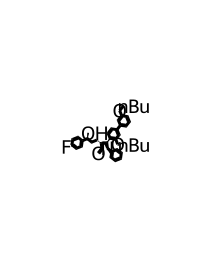 CCCCOc1cccc(-c2ccc([C@@H]3[C@@H](CC[C@H](O)c4ccc(F)cc4)C(=O)N3c3ccccc3)c(OCCCC)c2)c1